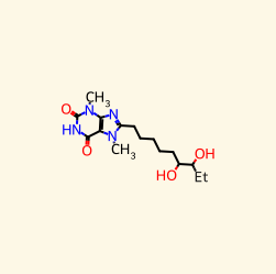 CCC(O)C(O)CCCCCc1nc2c(c(=O)[nH]c(=O)n2C)n1C